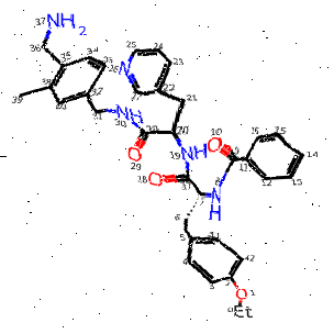 CCOc1ccc(C[C@@H](NC(=O)c2ccccc2)C(=O)NC(Cc2cccnc2)C(=O)NCc2ccc(CN)c(C)c2)cc1